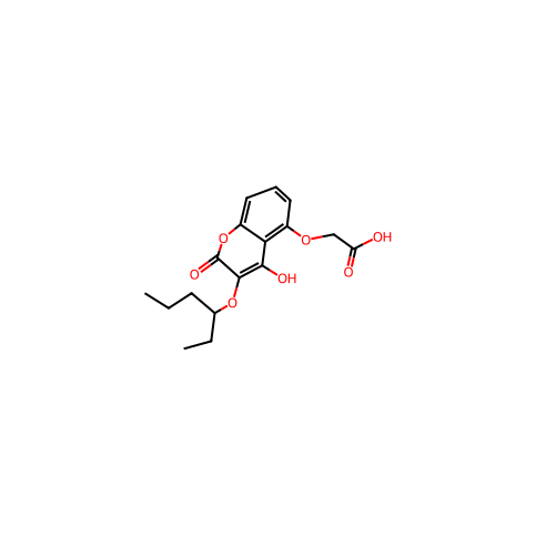 CCCC(CC)Oc1c(O)c2c(OCC(=O)O)cccc2oc1=O